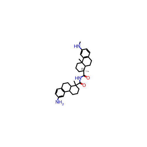 CNc1ccc2c(c1)C1(C)CCC[C@](C)(C(=O)NC(=O)C3(C)CCCC4c5cc(N)ccc5CCC43)C1CC2